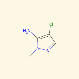 Cn1ncc(Cl)c1N